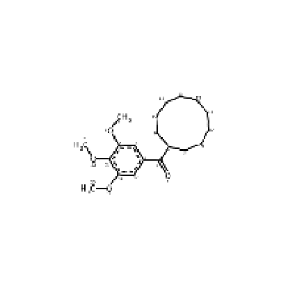 COc1cc(C(=O)C2CCCCCCCCC2)cc(OC)c1OC